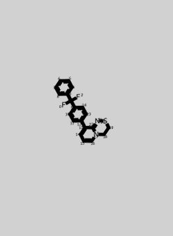 FC(F)(c1ccccc1)c1ccc(C2=CC=CN3CCSN=C23)cc1